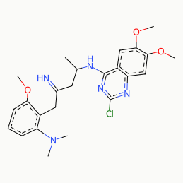 COc1cc2nc(Cl)nc(NC(C)CC(=N)Cc3c(OC)cccc3N(C)C)c2cc1OC